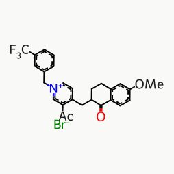 COc1ccc2c(c1)CCC(Cc1cc[n+](Cc3cccc(C(F)(F)F)c3)cc1C(C)=O)C2=O.[Br-]